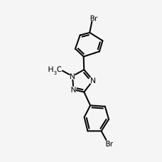 Cn1nc(-c2ccc(Br)cc2)nc1-c1ccc(Br)cc1